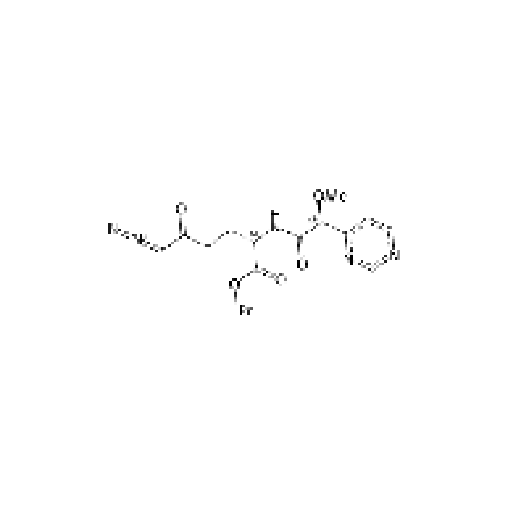 CO[C@H](C(=O)N[C@@H](CCC(=O)C=[N+]=[N-])C(=O)OC(C)C)c1ccncn1